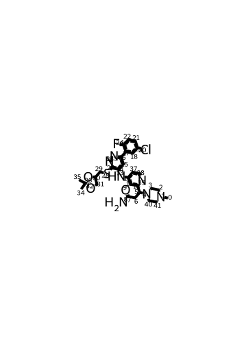 CN1CCN(C(CC(N)=O)c2cc(Nc3cc(-c4cc(Cl)ccc4F)nnc3SCC3COC(C)(C)O3)ccn2)CC1